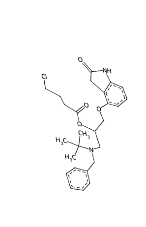 CC(C)(C)N(Cc1ccccc1)CC(COc1cccc2c1CC(=O)N2)OC(=O)CCCCl